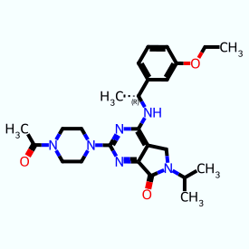 CCOc1cccc([C@@H](C)Nc2nc(N3CCN(C(C)=O)CC3)nc3c2CN(C(C)C)C3=O)c1